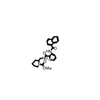 COC(=O)N1CCCCC1CNC(=O)c1ncccc1NC(=O)c1cccc2ccccc12